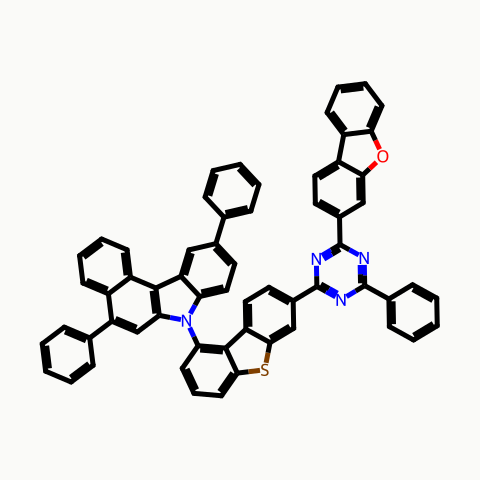 c1ccc(-c2ccc3c(c2)c2c4ccccc4c(-c4ccccc4)cc2n3-c2cccc3sc4cc(-c5nc(-c6ccccc6)nc(-c6ccc7c(c6)oc6ccccc67)n5)ccc4c23)cc1